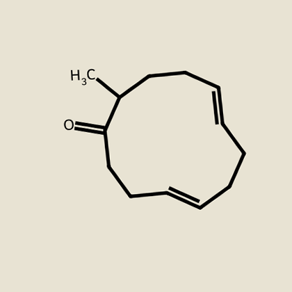 CC1CC/C=C/CC/C=C/CCC1=O